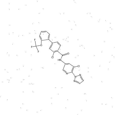 O=C(Nc1cnc(-n2nccn2)c(Cl)c1)c1ccc(-c2ccccc2OC(F)(F)F)cc1Cl